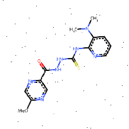 COc1cnc(C(=O)NNC(=S)Nc2ncccc2N(C)C)cn1